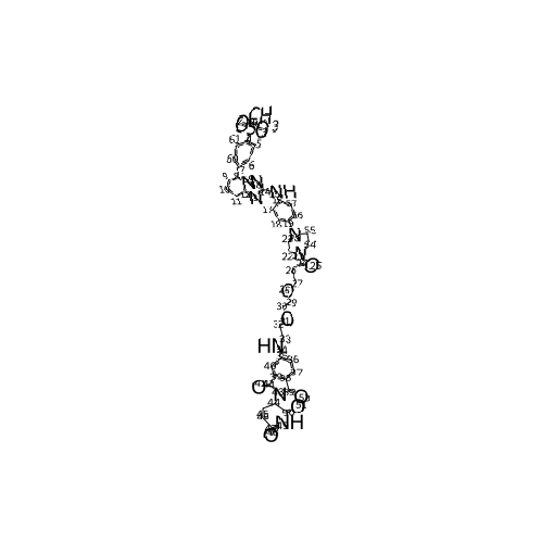 CS(=O)(=O)c1ccc(-c2cccc3nc(Nc4ccc(N5CCN(C(=O)CCOCCOCCNc6ccc7c(c6)C(=O)N(C6CCC(=O)NC6=O)C7=O)CC5)cc4)nn23)cc1